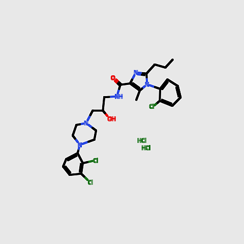 CCCc1nc(C(=O)NCC(O)CN2CCN(c3cccc(Cl)c3Cl)CC2)c(C)n1-c1ccccc1Cl.Cl.Cl